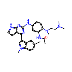 CC(=O)Nc1cc(Nc2nc(-c3cn(C)c4ccc(C)cc34)c3cc[nH]c3n2)ccc1N(C)CCN(C)C